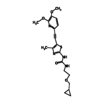 COc1ccc(C#Cc2sc(NC(=O)NCCOCC3CC3)nc2C)nc1OC